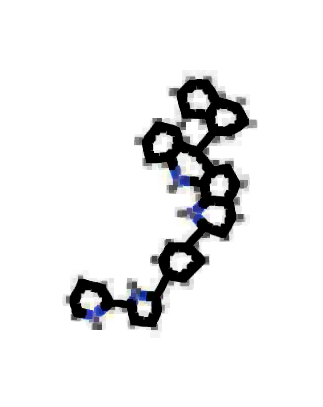 c1ccc(-c2cccc(-c3ccc(-c4ccc5ccc6c(-c7cccc8ccccc78)c7ccccc7nc6c5n4)cc3)n2)nc1